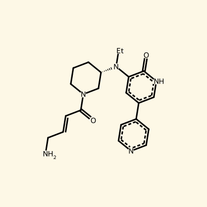 CCN(c1cc(-c2ccncc2)c[nH]c1=O)[C@H]1CCCN(C(=O)C=CCN)C1